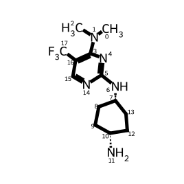 CN(C)c1nc(N[C@H]2CC[C@@H](N)CC2)ncc1C(F)(F)F